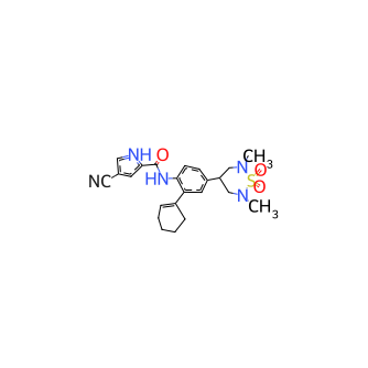 CN1CC(c2ccc(NC(=O)c3cc(C#N)c[nH]3)c(C3=CCCCC3)c2)CN(C)S1(=O)=O